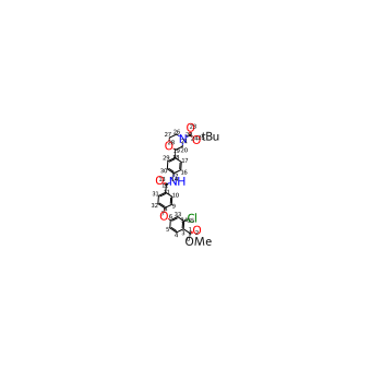 COC(=O)c1ccc(Oc2ccc(C(=O)Nc3ccc([C@@H]4CN(C(=O)OC(C)(C)C)CCO4)cc3)cc2)cc1Cl